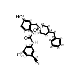 C[N+]1(Cc2cc(O)ccc2NC(=O)Nc2cccc(C#N)c2)CCC(Cc2ccccc2)CC1.[Cl-]